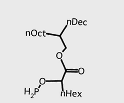 CCCCCCCCCCC(CCCCCCCC)COC(=O)C(CCCCCC)OP